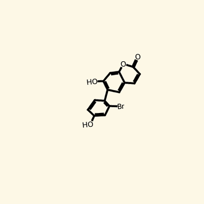 O=c1ccc2cc(-c3ccc(O)cc3Br)c(O)cc2o1